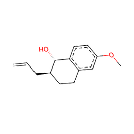 C=CC[C@@H]1CCc2cc(OC)ccc2[C@H]1O